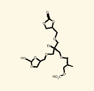 CCC(COCC(C)COC(=O)O)(COCC1COC(=O)O1)COCC1COC(O)O1